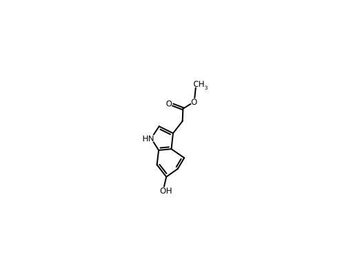 COC(=O)Cc1c[nH]c2cc(O)ccc12